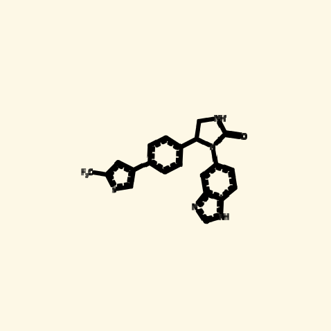 O=C1NCC(c2ccc(-c3csc(C(F)(F)F)c3)cc2)N1c1ccc2[nH]cnc2c1